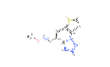 CO/N=C/c1cc2sccc2n2nnnc12